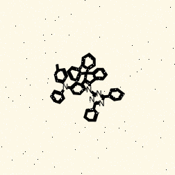 CC1C=CC(N(C2=Cc3c4c(n(-c5nc(C6=CCCC=C6)nc(-c6ccccc6)n5)c3CC2)-c2ccccc2C42c3ccccc3-c3ccccc32)c2ccccc2)=CC1